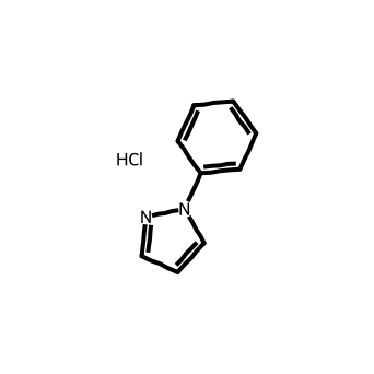 Cl.c1ccc(-n2cccn2)cc1